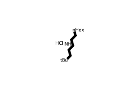 CCCCCCCCCCCC(C)(C)C.Cl.N